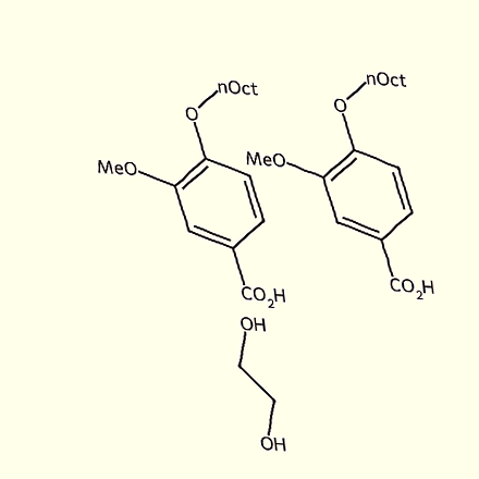 CCCCCCCCOc1ccc(C(=O)O)cc1OC.CCCCCCCCOc1ccc(C(=O)O)cc1OC.OCCO